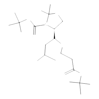 CC(C)CC(OCCC(=O)OC(C)(C)C)[C@@H]1COC(C)(C)N1C(=O)OC(C)(C)C